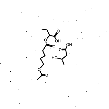 CC(O)CC(=O)O.CCC(OC(=O)CCCCOC(C)=O)C(=O)O